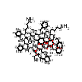 CC(=O)N(CC(=O)N(CC(=O)N(CCCCN)CC(=O)N(CC(=O)N(CC(=O)N(CCCCN)CC(=O)N(CC(=O)N(CC(=O)N(CCCCN)CC(=O)N(CC(=O)N(CC(N)=O)Cc1ccccc1)Cc1ccccc1)Cc1ccccc1)Cc1ccccc1)Cc1ccccc1)Cc1ccccc1)Cc1ccccc1)[C@@H](C)c1ccccc1